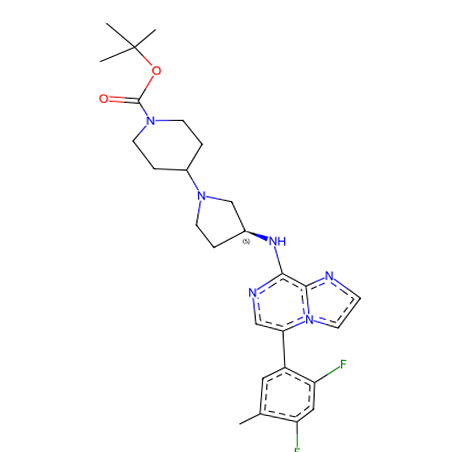 Cc1cc(-c2cnc(N[C@H]3CCN(C4CCN(C(=O)OC(C)(C)C)CC4)C3)c3nccn23)c(F)cc1F